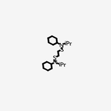 CC(C)N(SCCSN(C(C)C)C1CCCCC1)C1CCCCC1